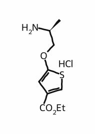 CCOC(=O)c1csc(OC[C@H](C)N)c1.Cl